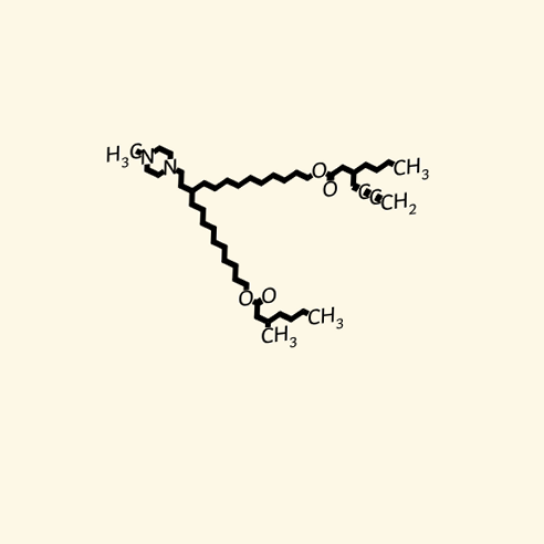 C=C=C=CC(CCCC)CC(=O)OCCCCCCCCCCC(CCCCCCCCCCOC(=O)CC(C)CCCC)CCN1CCN(C)CC1